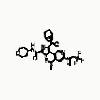 O=C(NC1CCOCC1)c1nc(C(=O)N2C3CCC2CC3)c(-c2cnc(NCC(F)(F)F)cc2C(F)F)s1